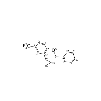 FC(F)(F)c1ccc(OCc2ccccc2)c(C2CC2)c1